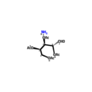 CC(=O)OC[C@@H](OC(C)=O)[C@@H](OC(C)=O)[C@H](C=O)OC(C)=O.N